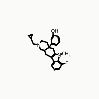 Cn1c2c(c3cccc(F)c31)CC1CN(CC3CC3)CCC1(c1cccc(O)c1)C2